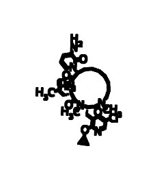 CC(C)C[C@@H]1NC(=O)[C@@H](n2cccc(N)c2=O)CCCCCCCN(C)C(=O)[C@H](Cc2cc(Cl)cnc2OC2CC2)N(C)C1=O